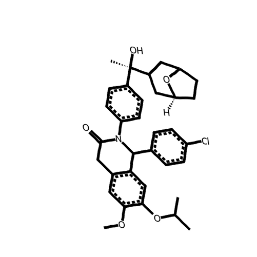 COc1cc2c(cc1OC(C)C)C(c1ccc(Cl)cc1)N(c1ccc([C@@](C)(O)C3CC4CC[C@@H](C3)O4)cc1)C(=O)C2